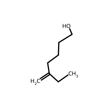 C=C(CC)CCCCO